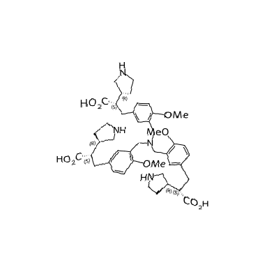 COc1ccc(C[C@H](C(=O)O)[C@H]2CCNC2)cc1CN(Cc1cc(C[C@H](C(=O)O)[C@H]2CCNC2)ccc1OC)Cc1cc(C[C@H](C(=O)O)[C@H]2CCNC2)ccc1OC